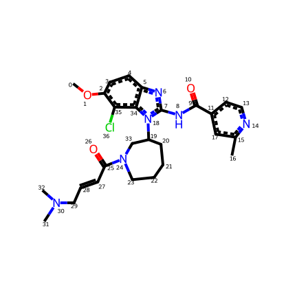 COc1ccc2nc(NC(=O)c3ccnc(C)c3)n(C3CCCCN(C(=O)/C=C/CN(C)C)C3)c2c1Cl